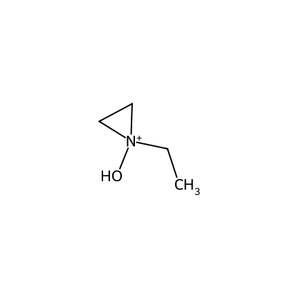 CC[N+]1(O)CC1